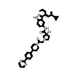 C=C(/C=C(\C=C/C)c1n[nH]c2ccc(NC(=O)[C@]3(CC)CCN(CC(=O)N4C=CC(c5ccc(-c6ncccn6)cc5)CC4)C3)cc12)C1CC1